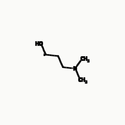 CN(C)CC[C]O